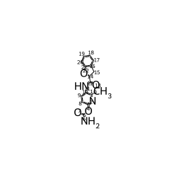 Cc1nc(OC(N)=O)ccc1NC(=O)C1Cc2ccccc2O1